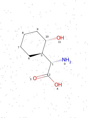 N[C@H](C(=O)O)[C@H]1CCCC[C@@H]1O